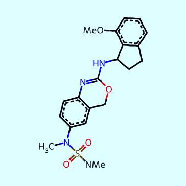 CNS(=O)(=O)N(C)c1ccc2c(c1)COC(NC1CCc3cccc(OC)c31)=N2